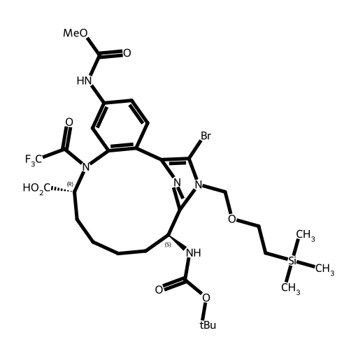 COC(=O)Nc1ccc2c(c1)N(C(=O)C(F)(F)F)[C@@H](C(=O)O)CCCC[C@H](NC(=O)OC(C)(C)C)c1nc-2c(Br)n1COCC[Si](C)(C)C